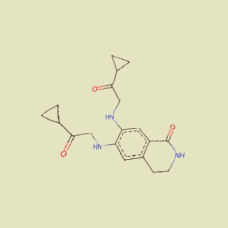 O=C1NCCc2cc(NCC(=O)C3CC3)c(NCC(=O)C3CC3)cc21